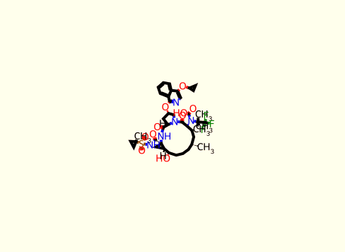 C[C@@H]1CCC[C@H](O)[C@@H]2C[C@@]2(C(=O)NS(=O)(=O)C2(C)CC2)NC(=O)[C@@H]2C[C@@H](Oc3ncc(OC4CC4)c4ccccc34)CN2C(=O)[C@@H](N(C(=O)O)C(C)(C)C(F)(F)F)[C@H](C)C1